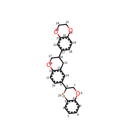 c1ccc2c(c1)OCC(c1ccc3c(c1)CC(c1ccc4c(c1)OCCO4)CO3)S2